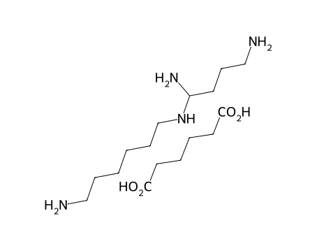 NCCCCCCNC(N)CCCN.O=C(O)CCCCC(=O)O